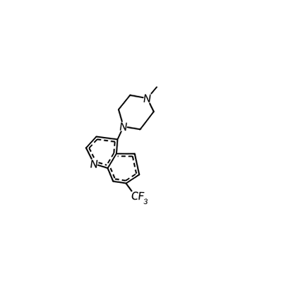 CN1CCN(c2ccnc3cc(C(F)(F)F)ccc23)CC1